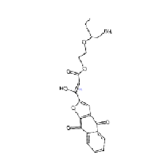 CCC(CO)OCCOC(=O)/C=C(\O)c1cc2c(o1)C(=O)c1ccccc1C2=O